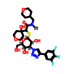 CCN(CC1CCOCC1)C(=O)C(S[C@@H]1O[C@H](CO)[C@H](O)[C@H](n2cc(-c3cc(F)c(F)c(F)c3)nn2)[C@H]1O)C1(O)CCOCC1